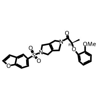 COc1ccccc1O[C@H](C)C(=O)N1CC2=C(C1)CN(S(=O)(=O)c1ccc3occc3c1)C2